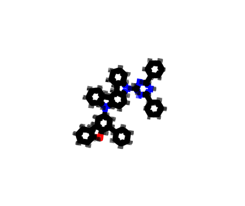 c1ccc(-c2nc(-c3ccccc3)nc(-n3c4ccccc4c4c5c6ccccc6n(-c6cc(-c7ccccc7)c7oc8ccccc8c7c6)c5ccc43)n2)cc1